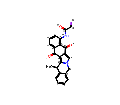 CC1c2ccccc2Cn2cc3c(c21)C(=O)c1cccc(NC(=O)CI)c1C3=O